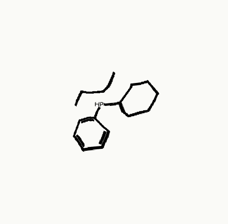 CCCC.c1ccc(PC2CCCCC2)cc1